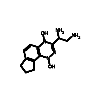 NCC(N)C1=NN(O)c2c(ccc3c2CCC3)N1O